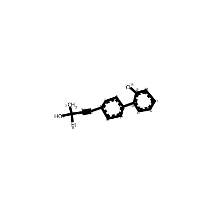 CCC(C)(O)C#Cc1ccc(-c2ccccc2Cl)cc1